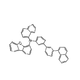 c1cc(-c2cccc(N(c3cccc4ccccc34)c3cccc4c3oc3ccccc34)c2)cc(-c2cccc3ccccc23)c1